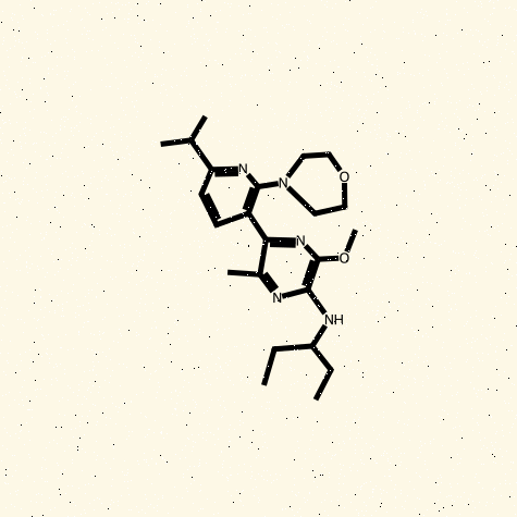 CCC(CC)Nc1nc(C)c(-c2ccc(C(C)C)nc2N2CCOCC2)nc1OC